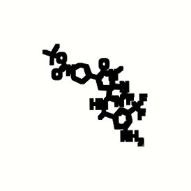 CC(Nc1ncnc2c1cc(C1=CCN(C(=O)OC(C)(C)C)CC1)c(=O)n2C)c1cc(N)cc(C(F)(F)F)c1